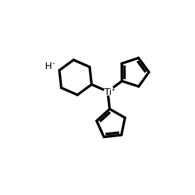 C1=CC[C]([Ti+]([C]2=CC=CC2)[CH]2CCCCC2)=C1.[H-]